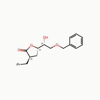 CC(C)C[C@@H]1C[C@@H]([C@H](O)COCc2ccccc2)OC1=O